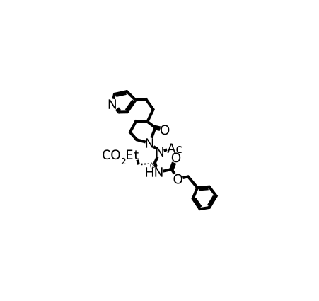 CCOC(=O)C[C@@H](NC(=O)OCc1ccccc1)N(C(C)=O)N1CCCC(CCc2ccncc2)C1=O